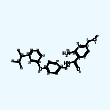 COCc1ccc(C(=O)NCc2ccc(Oc3cccc(C(C)C(C)C)c3)cc2)c(N)n1